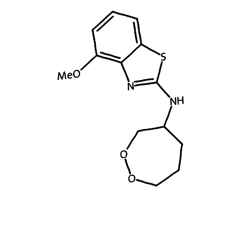 COc1cccc2sc(NC3CCCOOC3)nc12